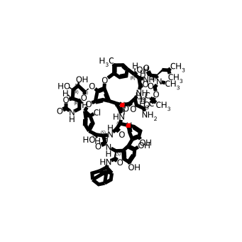 Cc1cc2ccc1Oc1cc3cc(c1O[C@@H]1O[C@@H]4CNC(=O)O[C@H]4[C@H](O)[C@H]1O)Oc1ccc(cc1Cl)[C@@H](O)[C@@H]1NC(=O)[C@H](NC(=O)[C@@H]3NC(=O)[C@H](CC(N)=O)NC(=O)[C@H](NC(=O)[C@@H](CC(C)C)N(C)C(=O)OC(C)(C)C)[C@@H]2O)c2ccc(O)c(c2)-c2c(O)cc(O)cc2[C@@H](C(=O)NC2C3CC4CC(C3)CC2C4)NC1=O